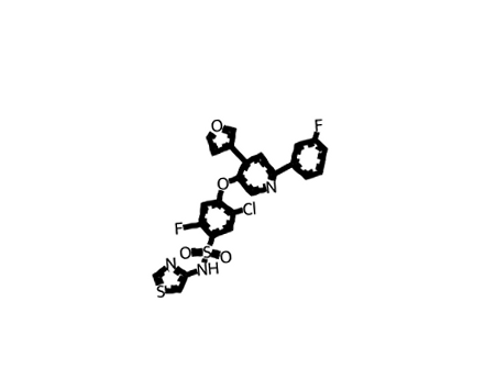 O=S(=O)(Nc1cscn1)c1cc(Cl)c(Oc2cnc(-c3cccc(F)c3)cc2-c2ccoc2)cc1F